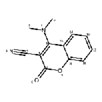 CN(C)c1c(C#N)c(=O)oc2ccccc12